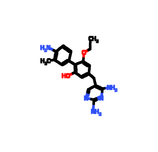 CCOc1cc(Cc2cnc(N)nc2N)cc(O)c1-c1ccc(N)c(C)c1